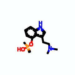 C=P(C)(O)Oc1cccc2[nH]cc(CCN(C)C)c12